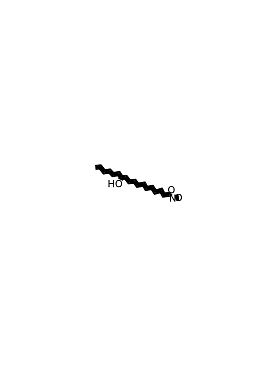 CCCCCCC(O)CCCCCCCCCCC(=O)N=O